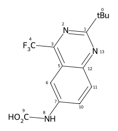 CC(C)(C)c1nc(C(F)(F)F)c2cc(NC(=O)O)ccc2n1